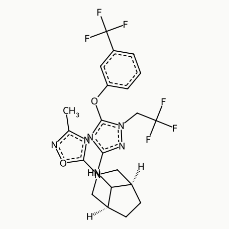 Cc1noc(N2C[C@H]3CC[C@@H](C2)C3Nc2nc(Oc3cccc(C(F)(F)F)c3)n(CC(F)(F)F)n2)n1